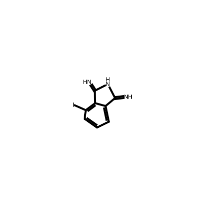 N=C1NC(=N)c2c(I)cccc21